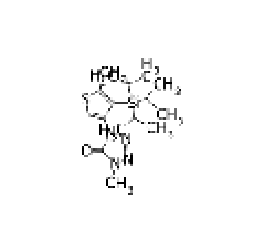 Cc1scc(-n2nnn(C)c2=O)c1[Si](C(C)C)(C(C)C)C(C)C